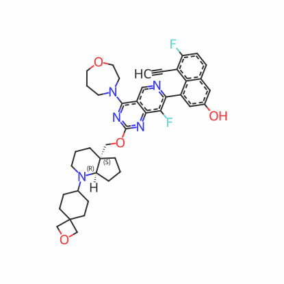 C#Cc1c(F)ccc2cc(O)cc(-c3ncc4c(N5CCCOCC5)nc(OC[C@]56CCC[C@H]5N(C5CCC7(CC5)COC7)CCC6)nc4c3F)c12